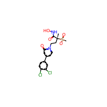 C[C@@](CCn1ccc(-c2ccc(Cl)c(Cl)c2)cc1=O)(C(=O)NO)S(C)(=O)=O